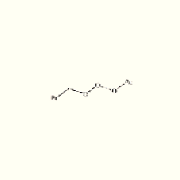 CC(=O)OOOCC(C)C